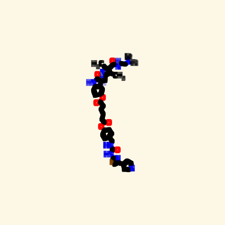 CCN(CC)CCNC(=O)c1c(C)[nH]c(/C=C2\C(=O)Nc3ccc(OC(=O)CCCCC(=O)Oc4ccc(CNC(=O)Nc5nc(-c6ccncc6)cs5)cc4)cc32)c1C